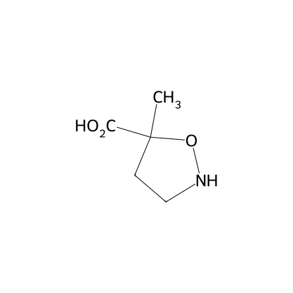 CC1(C(=O)O)CCNO1